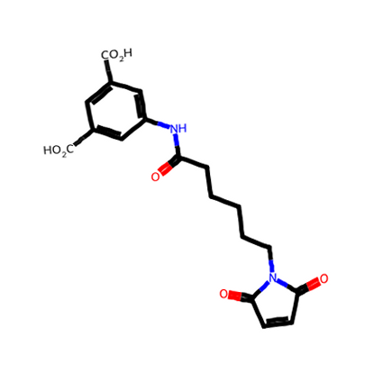 O=C(CCCCCN1C(=O)C=CC1=O)Nc1cc(C(=O)O)cc(C(=O)O)c1